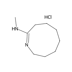 CNC1=NCCCCCCC1.Cl